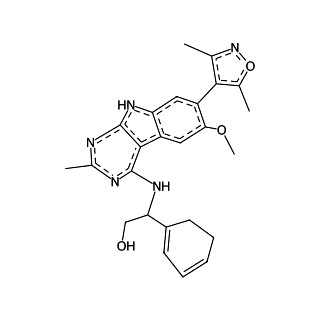 COc1cc2c(cc1-c1c(C)noc1C)[nH]c1nc(C)nc(NC(CO)C3=CC=CCC3)c12